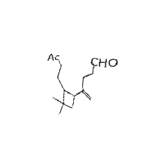 C=C(CCC=O)C1CC(C)(C)C1CCC(C)=O